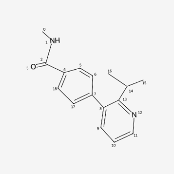 CNC(=O)c1ccc(-c2cccnc2C(C)C)cc1